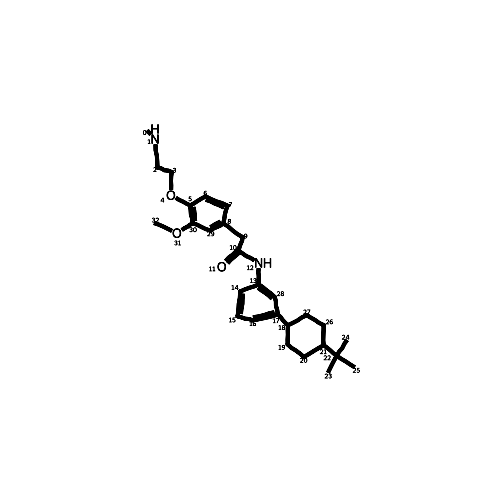 CNCCOc1ccc(CC(=O)Nc2cccc(C3CCC(C(C)(C)C)CC3)c2)cc1OC